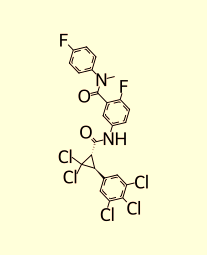 CN(C(=O)c1cc(NC(=O)[C@@H]2[C@@H](c3cc(Cl)c(Cl)c(Cl)c3)C2(Cl)Cl)ccc1F)c1ccc(F)cc1